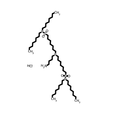 CCCCCCCCN(CCCCCCCC)S(=O)(=O)CCCCCCCN(CCCCN)CCCCCCCS(=O)(=O)N(CCCCCCCC)CCCCCCCC.Cl